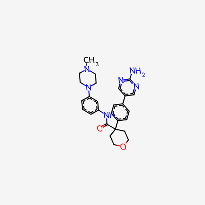 CN1CCN(c2cccc(NC(=O)C3(c4ccc(-c5cnc(N)nc5)cc4)CCOCC3)c2)CC1